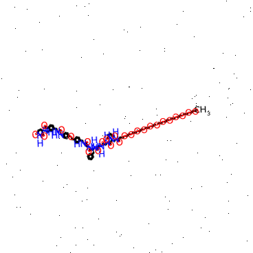 COCCOCCOCCOCCOCCOCCOCCOCCOCCOCCOCCOCCC(=O)NC[C@@H](C(=O)NCC(=O)NCC(=O)N[C@@H](Cc1ccccc1)C(=O)NCC(=O)NCc1ccc(COc2ccc(NC(=O)NCc3ccc4c(c3)CN(C3CCC(=O)NC3=O)C4=O)cc2)cc1)N1C(=O)C=CC1=O